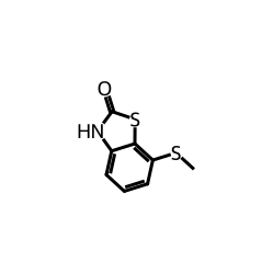 CSc1cccc2[nH]c(=O)sc12